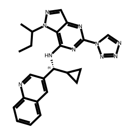 CCC(C)n1ncc2nc(-n3cnnn3)nc(N[C@@H](c3cnc4ccccc4c3)C3CC3)c21